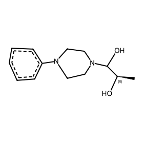 C[C@@H](O)C(O)N1CCN(c2ccccc2)CC1